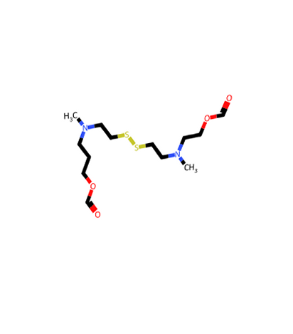 CN(CCCOC=O)CCSSCCN(C)CCOC=O